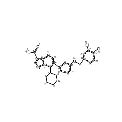 O=C(O)c1cnn2c(C3CCCCC3)c(-c3cccc(OCc4ccc(Cl)c(Cl)c4)c3)cnc12